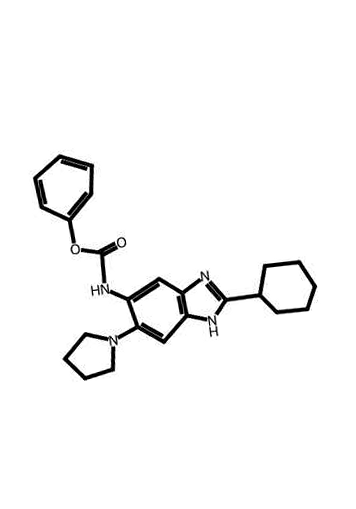 O=C(Nc1cc2nc(C3CCCCC3)[nH]c2cc1N1CCCC1)Oc1ccccc1